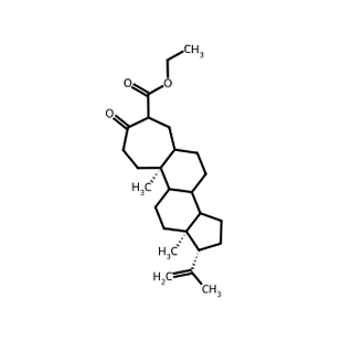 C=C(C)[C@H]1CCC2C3CCC4CC(C(=O)OCC)C(=O)CC[C@]4(C)C3CC[C@@]21C